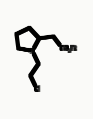 CCOC(=O)CC1CCCN1CCCl